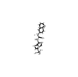 C[C@@H](C(=O)Nc1ncn2c(C(F)(F)F)csc12)c1ccc2ncccc2c1